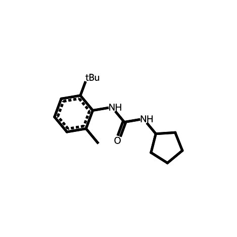 Cc1cccc(C(C)(C)C)c1NC(=O)NC1CCCC1